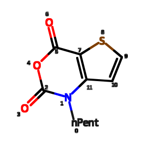 CCCCCn1c(=O)oc(=O)c2sccc21